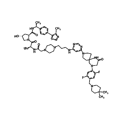 Cc1ncsc1-c1ccc([C@H](C)NC(=O)[C@@H]2C[C@@H](O)CN2C(=O)[C@@H](NC(=O)CN2CCN(CCCNc3cc(N4CCC5(CC4)CN(c4cc(F)c(CN6CCC(C)(C)CC6)cc4F)CC(=O)N5)ncn3)CC2)C(C)(C)C)cc1